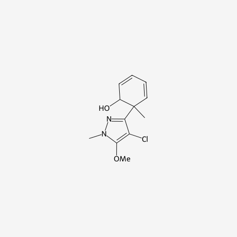 COc1c(Cl)c(C2(C)C=CC=CC2O)nn1C